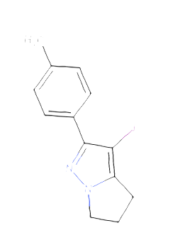 Cc1ccc(-c2nn3c(c2I)CCC3)cc1